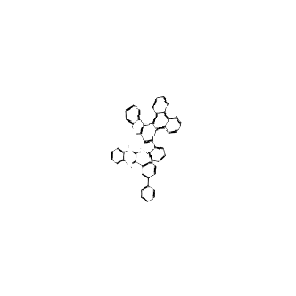 c1ccc(-c2cccc(-c3nc4ccccc4nc3-n3c4ccccc4c4c5c6ccccc6c6ccccc6c5c5c6ccccc6sc5c43)c2)cc1